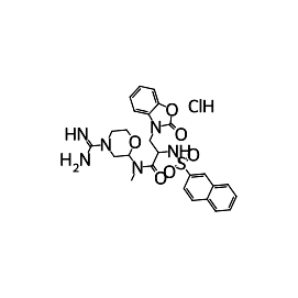 CN(C(=O)C(Cn1c(=O)oc2ccccc21)NS(=O)(=O)c1ccc2ccccc2c1)C1CN(C(=N)N)CCO1.Cl